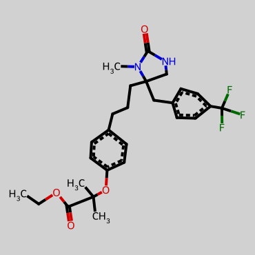 CCOC(=O)C(C)(C)Oc1ccc(CCCC2(Cc3ccc(C(F)(F)F)cc3)CNC(=O)N2C)cc1